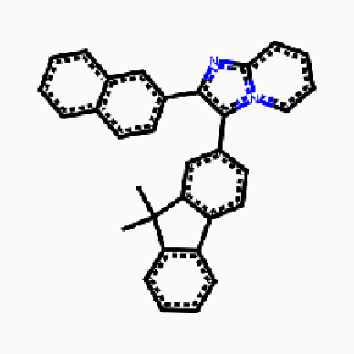 CC1(C)c2ccccc2-c2ccc(-c3c(-c4ccc5ccccc5c4)nc4ccccn34)cc21